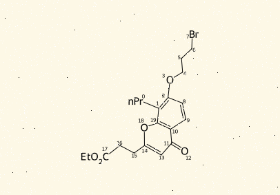 CCCc1c(OCCCBr)ccc2c(=O)cc(CCC(=O)OCC)oc12